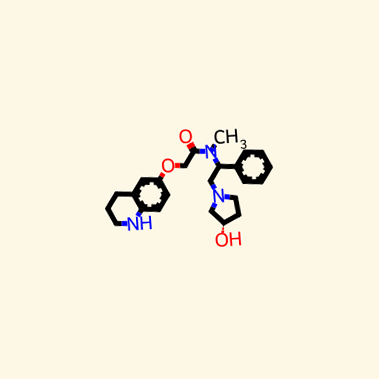 CN(C(=O)COc1ccc2c(c1)CCCN2)C(CN1CC[C@H](O)C1)c1ccccc1